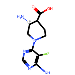 Nc1ncnc(N2CCC(C(=O)O)[C@@H](N)C2)c1F